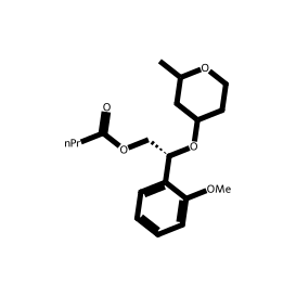 CCCC(=O)OC[C@H](OC1CCOC(C)C1)c1ccccc1OC